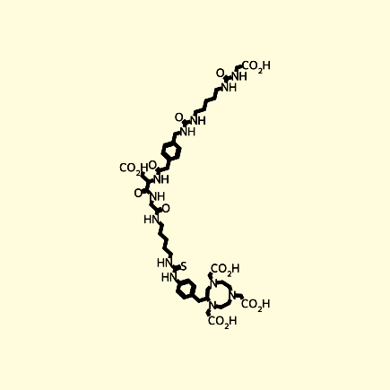 O=C(O)CNC(=O)NCCCCCNC(=O)NCc1ccc(CC(=O)NC(CC(=O)O)C(=O)NCC(=O)NCCCCCNC(=S)Nc2ccc(CC3CN(CC(=O)O)CCN(CC(=O)O)CCN3CC(=O)O)cc2)cc1